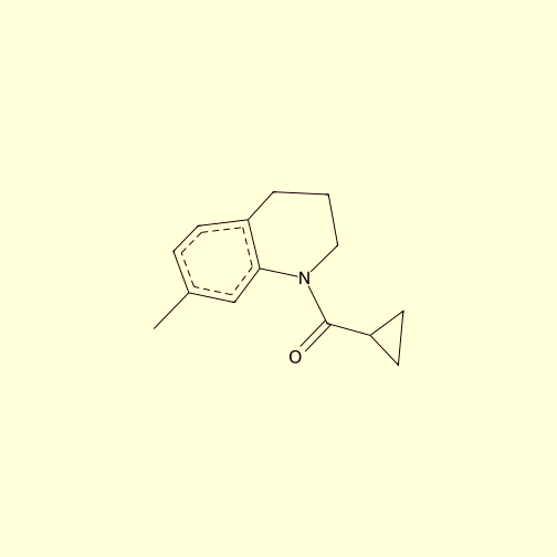 Cc1ccc2c(c1)N(C(=O)C1CC1)CCC2